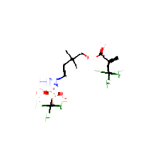 C=C(C(=O)OCC(C)(C)CCNS(=O)(=O)C(F)(F)F)C(F)(F)F